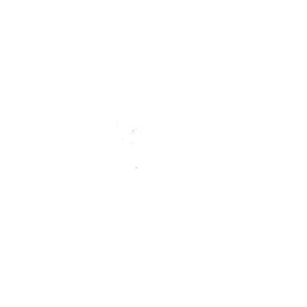 CC(C)S(=O)(=O)CC[C@@]12CC[C@@H](CC1=O)C2(C)C